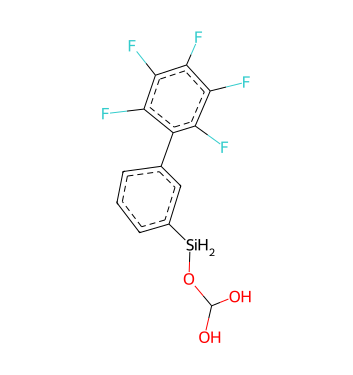 OC(O)O[SiH2]c1cccc(-c2c(F)c(F)c(F)c(F)c2F)c1